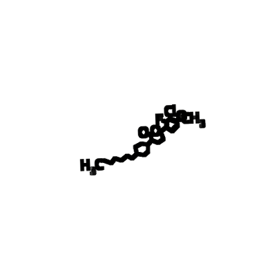 CCCCCCCC1CCC(C2CCC(c3ccc(OC)c(Cl)c3F)OC2=O)CC1